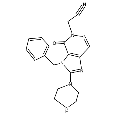 N#CCn1ncc2nc(N3CCNCC3)n(Cc3ccccc3)c2c1=O